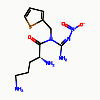 NCCC[C@@H](N)C(=O)N(Cc1cccs1)/C(N)=N\[N+](=O)[O-]